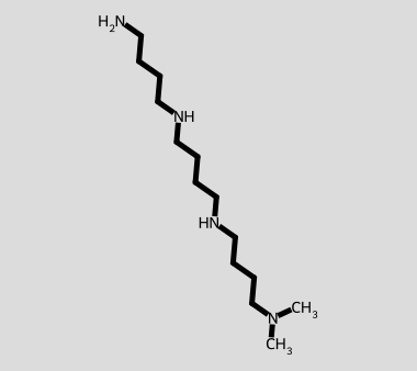 CN(C)CCCCNCCCCNCCCCN